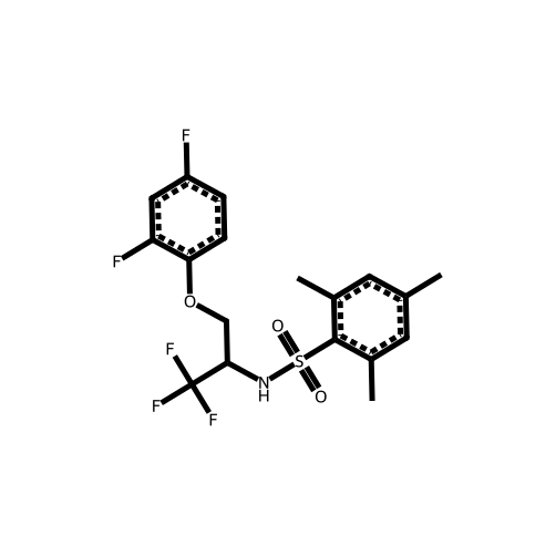 Cc1cc(C)c(S(=O)(=O)NC(COc2ccc(F)cc2F)C(F)(F)F)c(C)c1